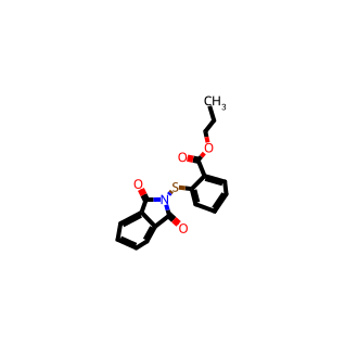 CCCOC(=O)c1ccccc1SN1C(=O)c2ccccc2C1=O